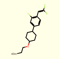 CCCCCCCCCCCCOC1CCC(c2ccc(C=C(F)F)c(F)c2)CC1